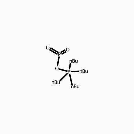 CCCCP(CCCC)(CCCC)(CCCC)OP(=O)=O